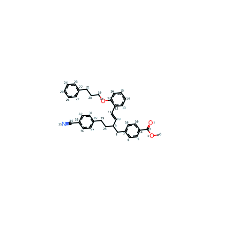 COC(=O)c1ccc(CC(/C=C/c2ccccc2OCCCc2ccccc2)CCc2ccc(C#N)cc2)cc1